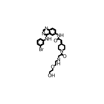 O=C(C=C1CCN(C(=O)CNCCOCCO)CC1)Nc1ccc2ncnc(Nc3cccc(Br)c3)c2c1